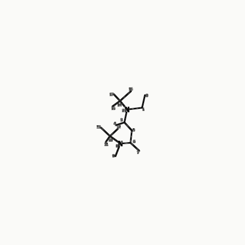 CCN(C(C)CC(C)N(C)C(C)(C)C)C(C)(C)C